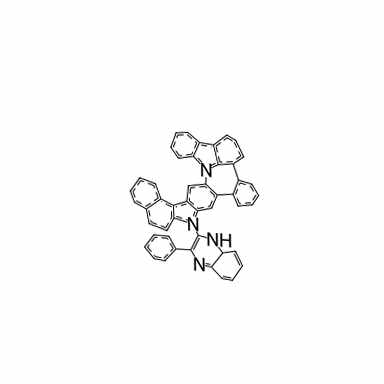 C1=CC2=NC(c3ccccc3)=C(n3c4cc5c(cc4c4c6ccccc6ccc43)-n3c4ccccc4c4cccc(c43)-c3ccccc3-5)NC2C=C1